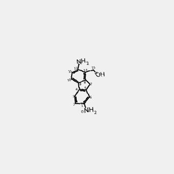 Nc1ccc2c(c1)Cc1c-2ccc(N)c1CO